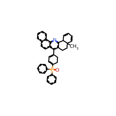 CC12C=CC=CC1c1nc3c(ccc4ccccc43)c(C3=CC=C(P(=O)(c4ccccc4)c4ccccc4)CC3)c1CC2